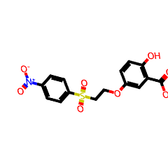 O=C(O)c1cc(OCCS(=O)(=O)c2ccc([N+](=O)[O-])cc2)ccc1O